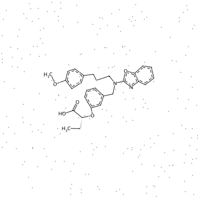 CC[C@@H](Oc1cccc(CN(CCCc2ccc(OC)cc2)c2nc3ccccc3o2)c1)C(=O)O